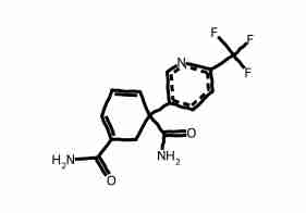 NC(=O)C1=CC=CC(C(N)=O)(c2ccc(C(F)(F)F)nc2)C1